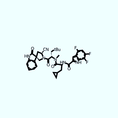 CN(C(=O)C(CC1CC1)NC(=O)c1cc2c(F)cc(F)c(F)c2[nH]1)[C@@H](CC(C)(C)C)C(=O)N1C[C@]2(C[C@H]1C#N)C(=O)Nc1ccccc12